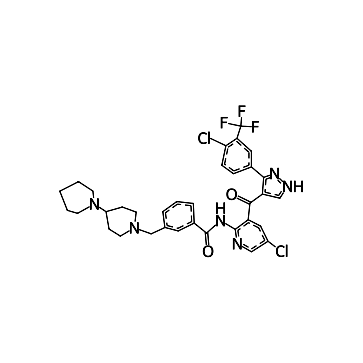 O=C(Nc1ncc(Cl)cc1C(=O)c1c[nH]nc1-c1ccc(Cl)c(C(F)(F)F)c1)c1cccc(CN2CCC(N3CCCCC3)CC2)c1